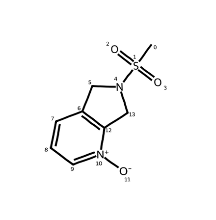 CS(=O)(=O)N1Cc2ccc[n+]([O-])c2C1